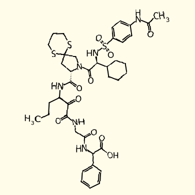 CCCC(NC(=O)[C@@H]1CC2(CN1C(=O)[C@@H](NS(=O)(=O)c1ccc(NC(C)=O)cc1)C1CCCCC1)SCCCS2)C(=O)C(=O)NCC(=O)NC(C(=O)O)c1ccccc1